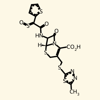 Cc1nnc(SCC2=C(C(=O)O)N3C(=O)C(NC(=O)C(=S=O)c4cccs4)[C@H]3SC2)s1